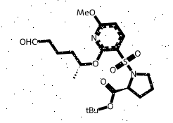 COc1ccc(S(=O)(=O)N2CCC[C@H]2C(=O)OC(C)(C)C)c(O[C@H](C)CCCC=O)n1